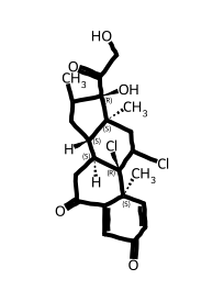 CC1C[C@H]2[C@@H]3CC(=O)C4=CC(=O)C=C[C@]4(C)[C@@]3(Cl)C(Cl)C[C@]2(C)[C@@]1(O)C(=O)CO